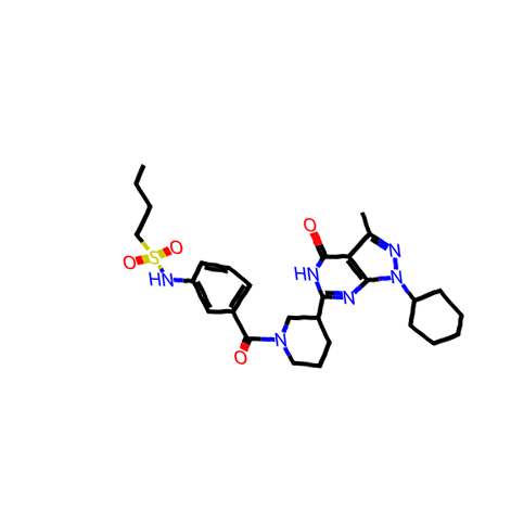 CCCCS(=O)(=O)Nc1cccc(C(=O)N2CCCC(c3nc4c(c(C)nn4C4CCCCC4)c(=O)[nH]3)C2)c1